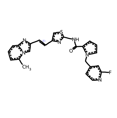 Cc1cccc2nc(/C=C/c3csc(NC(=O)c4cccn4Cc4ccnc(F)c4)n3)cn12